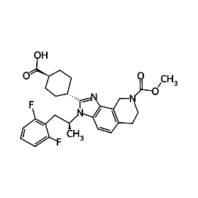 COC(=O)N1CCc2ccc3c(nc([C@H]4CC[C@H](C(=O)O)CC4)n3[C@@H](C)Cc3c(F)cccc3F)c2C1